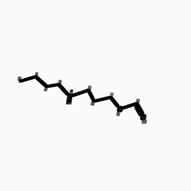 CCCCNCCCOC=O